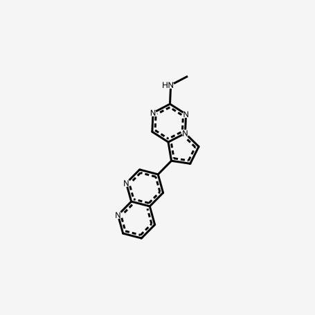 CNc1ncc2c(-c3cnc4ncccc4c3)ccn2n1